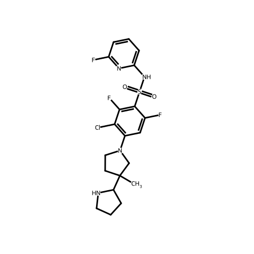 CC1(C2CCCN2)CCN(c2cc(F)c(S(=O)(=O)Nc3cccc(F)n3)c(F)c2Cl)C1